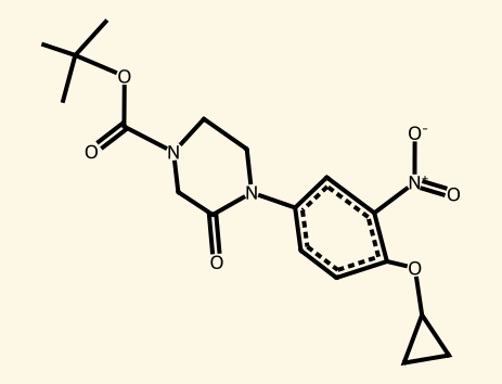 CC(C)(C)OC(=O)N1CCN(c2ccc(OC3CC3)c([N+](=O)[O-])c2)C(=O)C1